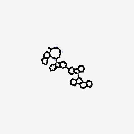 C=C1/C=C\C=C/C/C(n2c3ccccc3c3cc(-c4ccc5c(c4)c4ccccc4n5-c4cc5c6ccccc6ccc5c5ccccc45)ccc32)=C\c2c1ccc1ccccc21